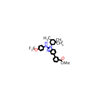 COC(=O)c1cccc(-c2ccc3c(c2)nc(Nc2ccc(OC(F)(F)F)cc2)n3[C@H]2C[C@@H](C)CC(C)(C)C2)c1